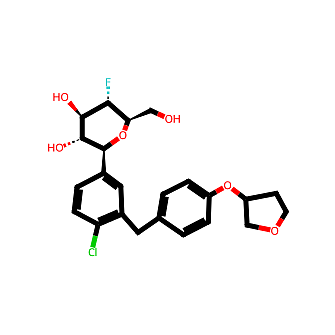 OC[C@H]1O[C@@H](c2ccc(Cl)c(Cc3ccc(OC4CCOC4)cc3)c2)[C@H](O)[C@@H](O)[C@@H]1F